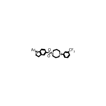 CC(=O)N1CCc2cc(S(=O)(=O)N3CCCN(c4cccc(C(F)(F)F)c4)CCC3)ccc21